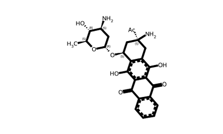 CC(=O)[C@]1(N)Cc2c(O)c3c(c(O)c2[C@@H](O[C@H]2C[C@H](N)[C@@H](O)[C@H](C)O2)C1)C(=O)c1ccccc1C3=O